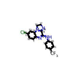 FC(F)(F)c1ccc(NC2=Nc3ccc(Cl)cc3N3CCN=C23)cc1